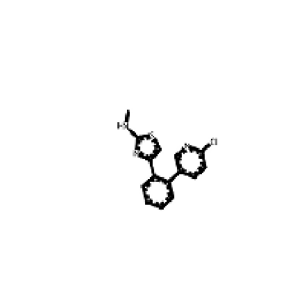 CNc1nc(-c2ccccc2-c2ccc(Cl)nc2)cs1